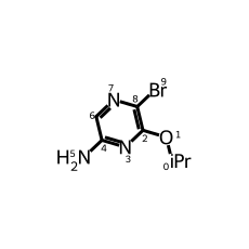 CC(C)Oc1nc(N)cnc1Br